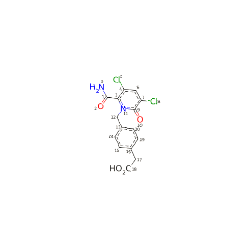 NC(=O)c1c(Cl)cc(Cl)c(=O)n1Cc1ccc(CC(=O)O)cc1